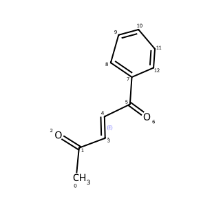 CC(=O)/[C]=C/C(=O)c1ccccc1